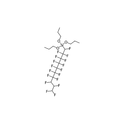 CCCO[Si](OCCC)(OCCC)C(F)C(F)(F)C(F)(F)C(F)(F)C(F)(F)C(F)(F)C(F)(F)C(F)C(F)C(F)F